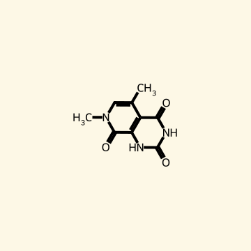 Cc1cn(C)c(=O)c2[nH]c(=O)[nH]c(=O)c12